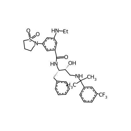 CCNc1cc(C(=O)N[C@@H](Cc2ccccc2)[C@H](O)CNC(C)(C)c2cccc(C(F)(F)F)c2)cc(N2CCCS2(=O)=O)c1